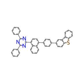 c1ccc(-c2nc(-c3ccccc3)nc(-c3ccc(-c4ccc(-c5ccc6sc7ccccc7c6c5)cc4)c4ccccc34)n2)cc1